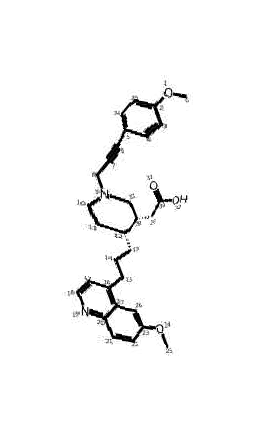 COc1ccc(C#CCN2CC[C@@H](CCCc3ccnc4ccc(OC)cc34)[C@@H](CC(=O)O)C2)cc1